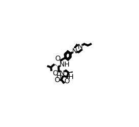 CCCN1CCN(c2ccc(C(=O)N[C@@H](CC(C)C)C(=O)N3C[C@@H](C)[C@H]4OCC(=O)[C@H]43)cc2)CC1